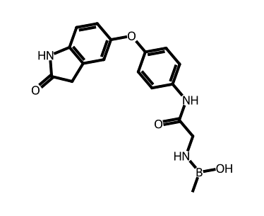 CB(O)NCC(=O)Nc1ccc(Oc2ccc3c(c2)CC(=O)N3)cc1